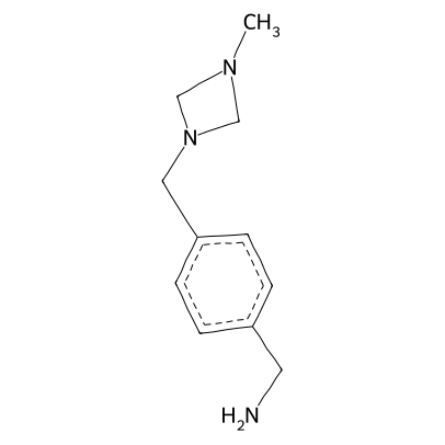 CN1CN(Cc2ccc(CN)cc2)C1